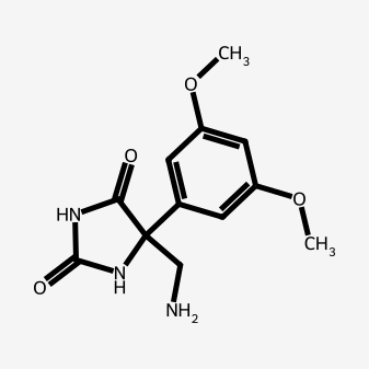 COc1cc(OC)cc(C2(CN)NC(=O)NC2=O)c1